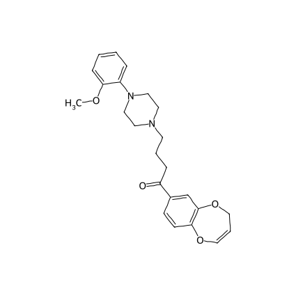 COc1ccccc1N1CCN(CCCC(=O)c2ccc3c(c2)OCC=CO3)CC1